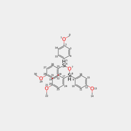 COc1ccc([SiH](O[SiH](c2ccc(OC)cc2)c2ccc(OC)cc2)c2ccc(OC)cc2)cc1